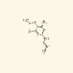 CCOc1c(C)cc(N/C=N/O)cc1Cl